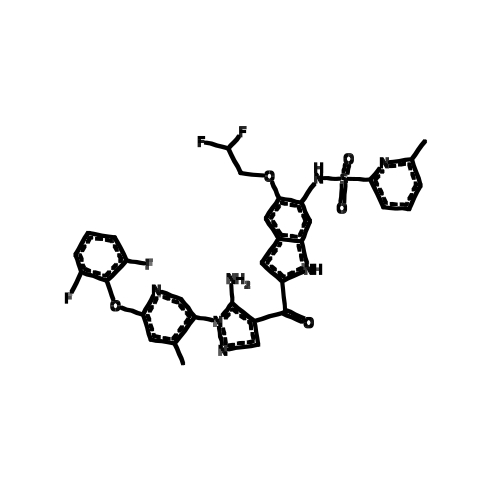 Cc1cccc(S(=O)(=O)Nc2cc3[nH]c(C(=O)c4cnn(-c5cnc(Oc6c(F)cccc6F)cc5C)c4N)cc3cc2OCC(F)F)n1